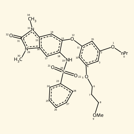 CCCOc1cc(OCCCOC)cc(Oc2cc3c(cc2NS(=O)(=O)c2ccccc2)n(C)c(=O)n3C)c1